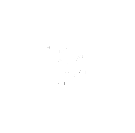 CSC(SC)=C(C#N)C(=O)N(C)C